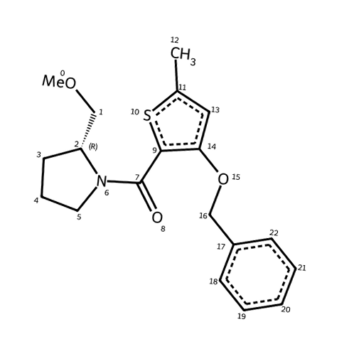 COC[C@H]1CCCN1C(=O)c1sc(C)cc1OCc1ccccc1